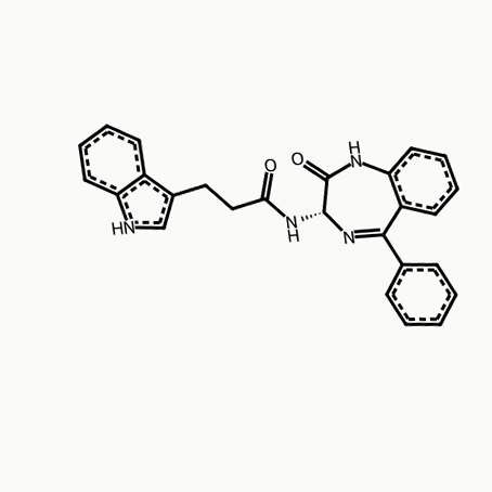 O=C(CCc1c[nH]c2ccccc12)N[C@H]1N=C(c2ccccc2)c2ccccc2NC1=O